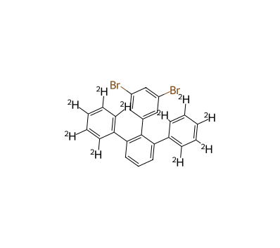 [2H]c1c([2H])c([2H])c(-c2cccc(-c3c([2H])c([2H])c([2H])c([2H])c3[2H])c2-c2cc(Br)cc(Br)c2)c([2H])c1[2H]